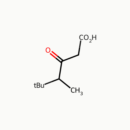 CC(C(=O)CC(=O)O)C(C)(C)C